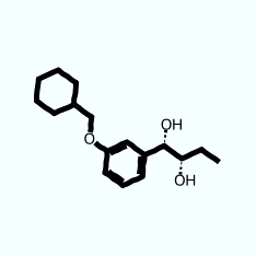 CC[C@H](O)[C@@H](O)c1cccc(OCC2CCCCC2)c1